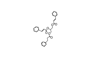 O=C(/C=C/c1ccccc1)OCC(COC(=O)CCc1ccccc1)OC(=O)/C=C/c1ccccc1